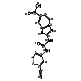 N#Cc1cccc(NC(=O)Nc2nc3ccc(C(=O)O)cc3s2)c1